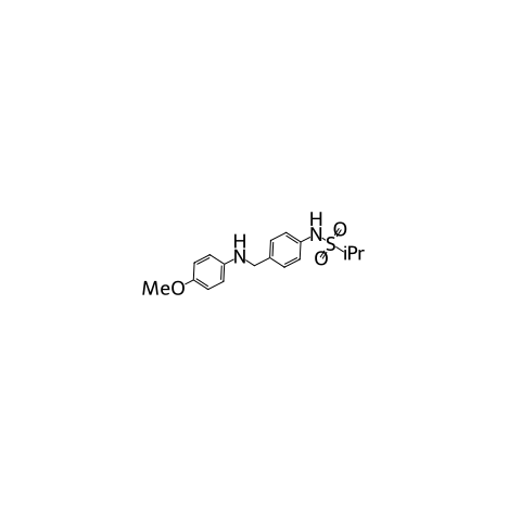 COc1ccc(NCc2ccc(NS(=O)(=O)C(C)C)cc2)cc1